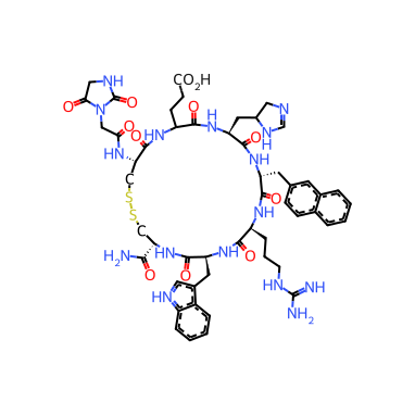 N=C(N)NCCC[C@@H]1NC(=O)[C@@H](Cc2ccc3ccccc3c2)NC(=O)[C@H](CC2CN=CN2)NC(=O)C(CCC(=O)O)NC(=O)[C@@H](NC(=O)CN2C(=O)CNC2=O)CSSC[C@@H](C(N)=O)NC(=O)[C@H](Cc2c[nH]c3ccccc23)NC1=O